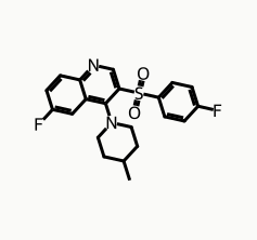 CC1CCN(c2c(S(=O)(=O)c3ccc(F)cc3)cnc3ccc(F)cc23)CC1